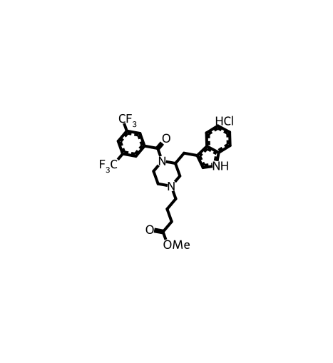 COC(=O)CCCN1CCN(C(=O)c2cc(C(F)(F)F)cc(C(F)(F)F)c2)C(Cc2c[nH]c3ccccc23)C1.Cl